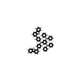 c1ccc(N(c2ccccc2)c2cc(N(c3ccccc3)c3ccccc3)cc(N(c3ccc(-c4cccc5c4oc4ccccc45)cc3)c3ccc(-c4cccc5c4oc4ccccc45)cc3)c2)cc1